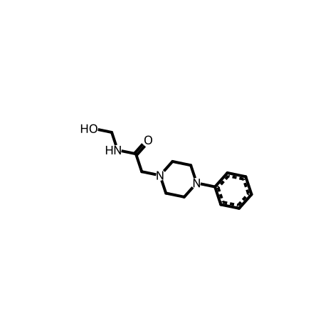 O=C(CN1CCN(c2ccccc2)CC1)NCO